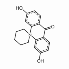 O=C1c2ccc(O)cc2[Si]2(CCCCC2)c2cc(O)ccc21